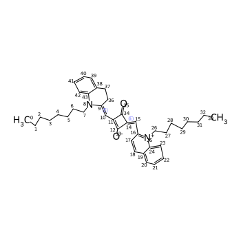 CCCCCCCCN1/C(=C/C2=C([O-])C(=C\c3ccc4ccccc4[n+]3CCCCCCCC)/C2=O)CCc2ccccc21